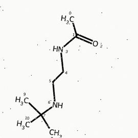 CC(=O)NCCNC(C)(C)C